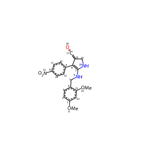 COc1ccc(CNC2=C(c3ccc([N+](=O)[O-])cc3)C(=C=O)CN2)c(OC)c1